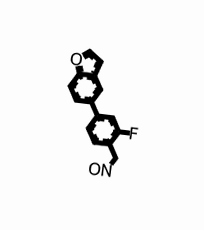 O=NCc1ccc(-c2ccc3occc3c2)cc1F